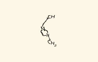 C#CCN1C=CN(C=C)C1